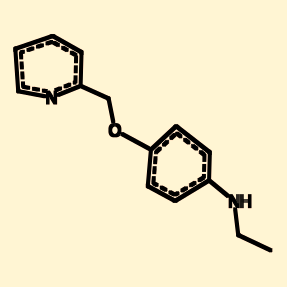 CCNc1ccc(OCc2ccccn2)cc1